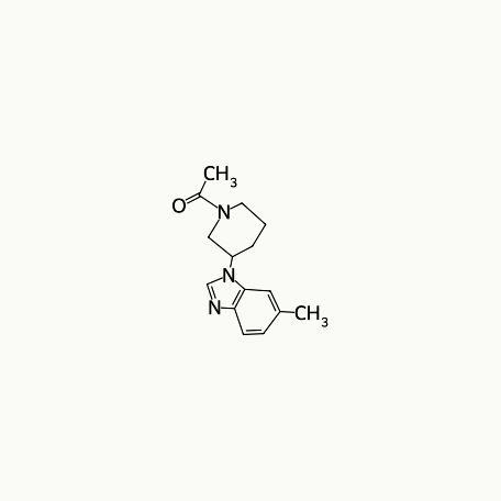 CC(=O)N1CCCC(n2cnc3ccc(C)cc32)C1